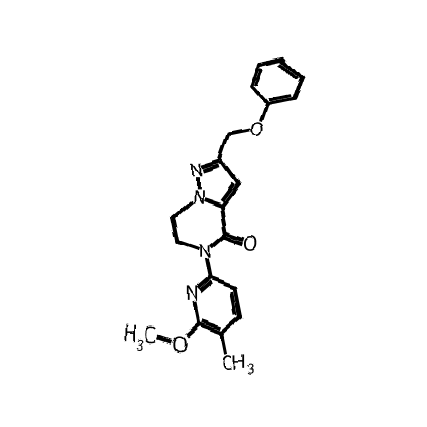 COc1nc(N2CCn3nc(COc4ccccc4)cc3C2=O)ccc1C